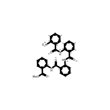 COC(=O)c1ccccc1NC(=O)c1ccccc1NC(=O)c1ccccc1NC(=O)c1ccccc1[N+](=O)[O-]